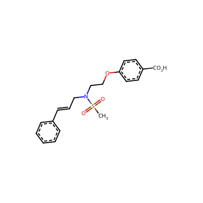 CS(=O)(=O)N(CC=Cc1ccccc1)CCOc1ccc(C(=O)O)cc1